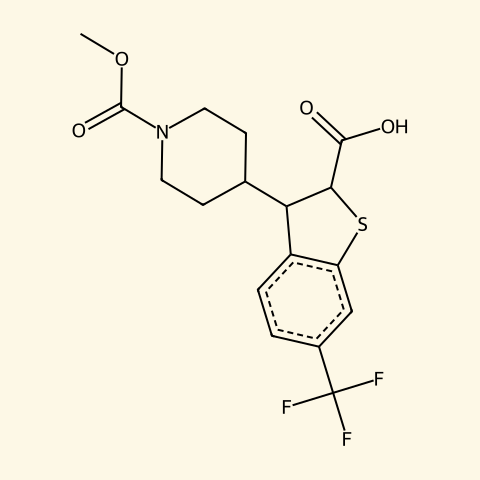 COC(=O)N1CCC(C2c3ccc(C(F)(F)F)cc3SC2C(=O)O)CC1